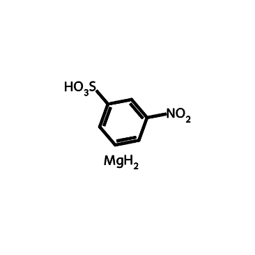 O=[N+]([O-])c1cccc(S(=O)(=O)O)c1.[MgH2]